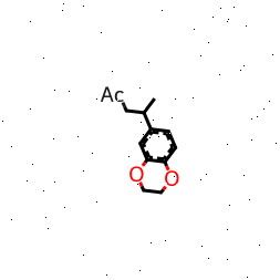 CC(=O)CC(C)c1ccc2c(c1)OCCO2